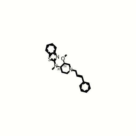 CO[C@H]1CN(CC=Cc2ccccc2)CC[C@H]1N(C)c1nc2ccccc2s1